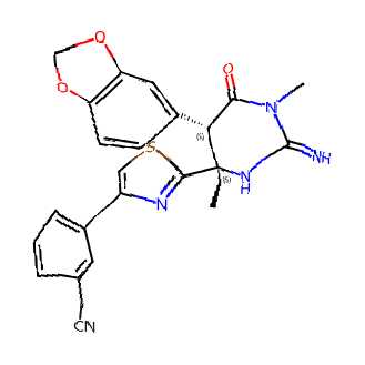 CN1C(=N)N[C@](C)(c2nc(-c3cccc(C#N)c3)cs2)[C@H](c2ccc3c(c2)OCO3)C1=O